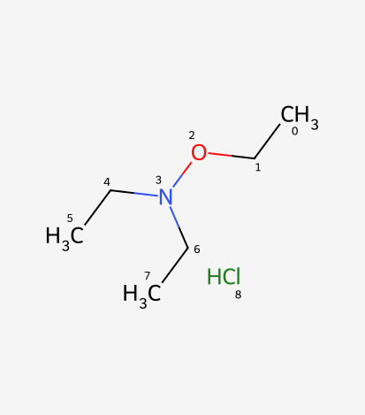 CCON(CC)CC.Cl